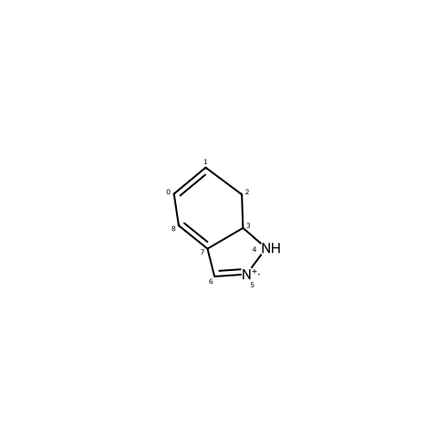 C1=CCC2N[N+]=CC2=C1